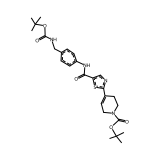 CC(C)(C)OC(=O)NCc1ccc(NC(=O)c2cnc(C3=CCN(C(=O)OC(C)(C)C)CC3)s2)cc1